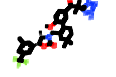 COc1ccc(C(=O)C(C)(C)c2nn[nH]n2)cc1C1=C(CN2C(=O)O[C@H](c3cc(C)cc(C(F)(F)F)c3)[C@@H]2C)CC(C)(C)CC1